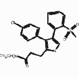 CN(O)C(=O)CCc1scc(-c2ccccc2S(C)(=O)=O)c1-c1ccc(Cl)cc1